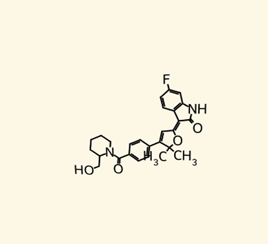 CC1(C)OC(=C2C(=O)Nc3cc(F)ccc32)C=C1c1ccc(C(=O)N2CCCCC2CO)cc1